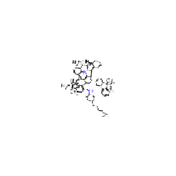 CCCCCc1ccc(Nc2ccc(C(C)(C)C)cc2-c2cc(-c3ccc4c(c3)-c3ccccc3C4(C)C)c3c4c5ccccc5cc5c4n4c3c2B(C)c2cccc(c2-4)C5(C)C)cc1